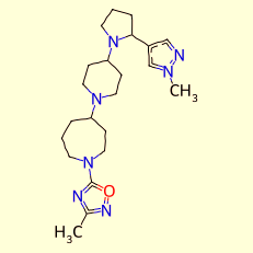 Cc1noc(N2CCCC(N3CCC(N4CCCC4c4cnn(C)c4)CC3)CC2)n1